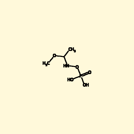 COC(C)NOP(=O)(O)O